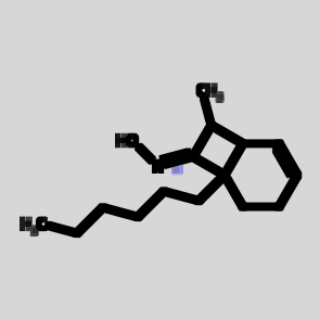 CCCCCCC12CCC=CC1C(C)/C2=N\O